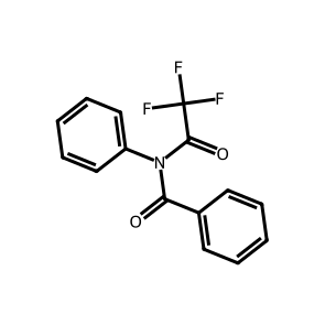 O=C(c1ccccc1)N(C(=O)C(F)(F)F)c1ccccc1